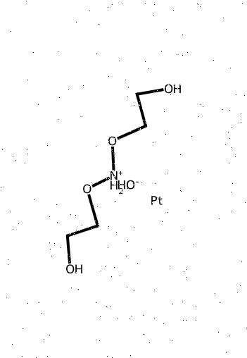 OCCO[NH2+]OCCO.[OH-].[Pt]